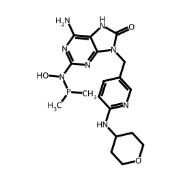 CP(C)N(O)c1nc(N)c2[nH]c(=O)n(Cc3ccc(NC4CCOCC4)nc3)c2n1